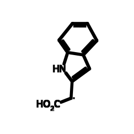 O=C(O)[CH]c1cc2ccccc2[nH]1